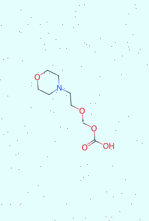 O=C(O)OCOCCN1CCOCC1